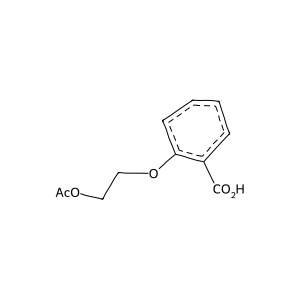 CC(=O)OCCOc1ccccc1C(=O)O